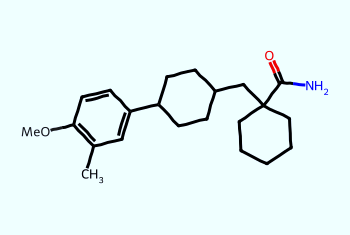 COc1ccc(C2CCC(CC3(C(N)=O)CCCCC3)CC2)cc1C